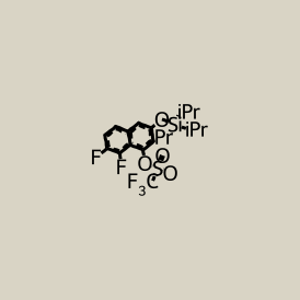 CC(C)[Si](Oc1cc(OS(=O)(=O)C(F)(F)F)c2c(F)c(F)ccc2c1)(C(C)C)C(C)C